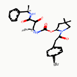 CCCC[C@H](NC(=O)OC1CC(C)(C)CN1C(=O)Cc1ccc(C(C)(C)C)cc1)C(=O)C(=O)N[C@H](C)c1ccccc1